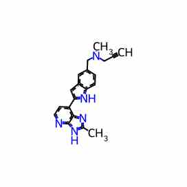 C#CCN(C)Cc1ccc2[nH]c(-c3ccnc4[nH]c(C)nc34)cc2c1